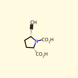 C#C[C@H]1CC[C@@H](C(=O)O)N1C(=O)O